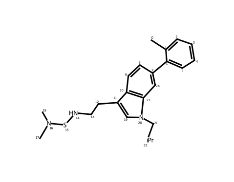 Cc1ccccc1-c1ccc2c(CCNSN(C)C)cn(CC(C)C)c2c1